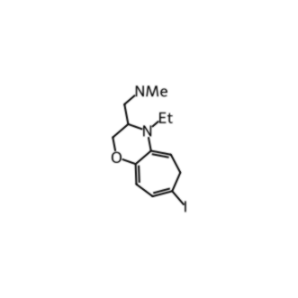 CCN1C2=CCC(I)=CC=C2OCC1CNC